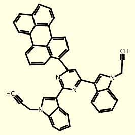 C#CCn1cc(-c2cc(-c3ccc4c5cccc6cccc(c7cccc3c74)c65)nc(-c3cn(CC#C)c4ccccc34)n2)c2ccccc21